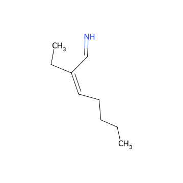 CCCC/C=C(\C=N)CC